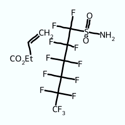 C=CC(=O)OCC.NS(=O)(=O)C(F)(F)C(F)(F)C(F)(F)C(F)(F)C(F)(F)C(F)(F)F